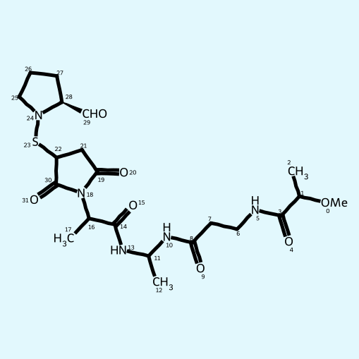 COC(C)C(=O)NCCC(=O)NC(C)NC(=O)C(C)N1C(=O)CC(SN2CCC[C@H]2C=O)C1=O